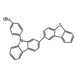 CC(C)(C)c1ccc(-n2c3ccccc3c3ccc(-c4ccc5sc6ccccc6c5c4)cc32)cc1